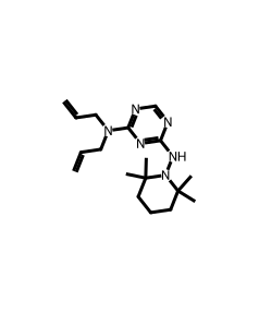 C=CCN(CC=C)c1ncnc(NN2C(C)(C)CCCC2(C)C)n1